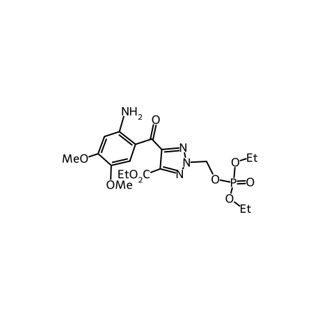 CCOC(=O)c1nn(COP(=O)(OCC)OCC)nc1C(=O)c1cc(OC)c(OC)cc1N